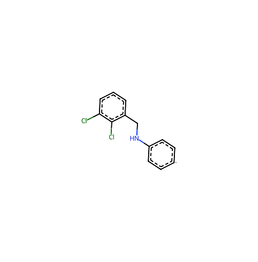 Clc1cccc(CNc2cc[c]cc2)c1Cl